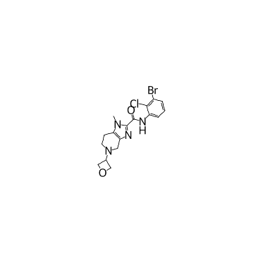 Cn1c(C(=O)Nc2cccc(Br)c2Cl)nc2c1CCN(C1COC1)C2